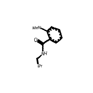 CNc1ccc[c]c1C(=O)NCC(C)C